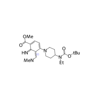 CCN(C(=O)OC(C)(C)C)C1CCN(C2=CC=C(C(=O)OC)C(=N)/C2=C\NC)CC1